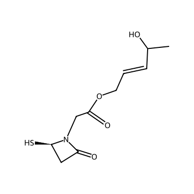 CC(O)C=CCOC(=O)CN1C(=O)C[C@H]1S